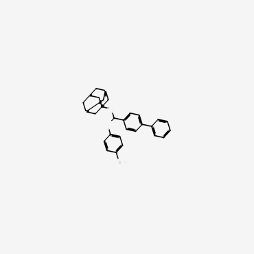 CCC(C)c1ccc(OC(OC23CC4CC(CC(C4)C2)C3)c2ccc(-c3ccccc3)cc2)cc1